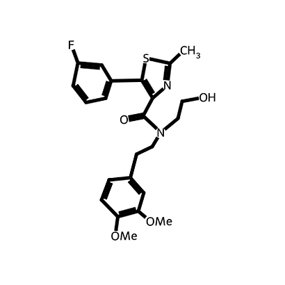 COc1ccc(CCN(CCO)C(=O)c2nc(C)sc2-c2cccc(F)c2)cc1OC